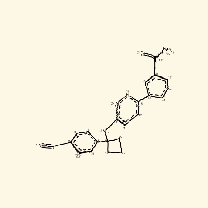 N#Cc1ccc(C2(Nc3ccc(-c4cccc(C(N)=O)c4)nn3)CCC2)cc1